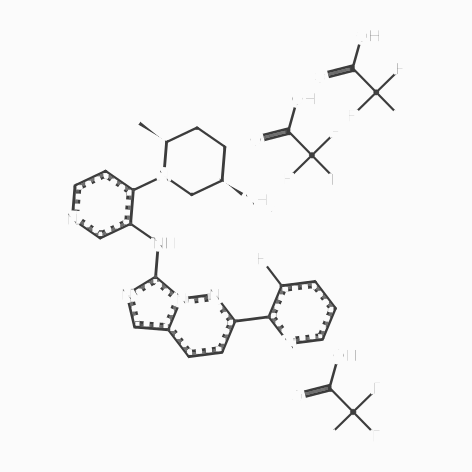 C[C@H]1CC[C@@H](N)CN1c1ccncc1Nc1ncc2ccc(-c3ncccc3F)nn12.O=C(O)C(F)(F)F.O=C(O)C(F)(F)F.O=C(O)C(F)(F)F